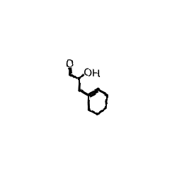 O=CC(O)CC1=CCCCC1